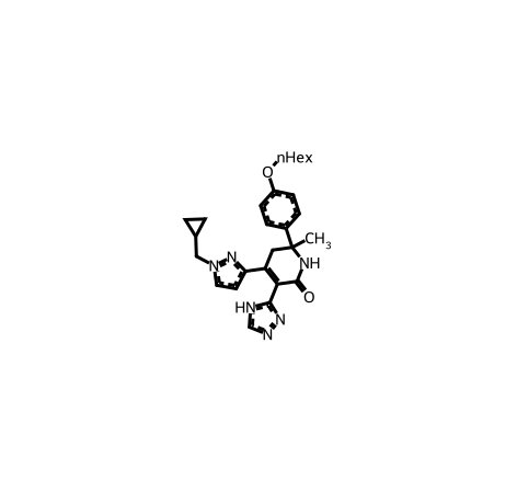 CCCCCCOc1ccc(C2(C)CC(c3ccn(CC4CC4)n3)=C(c3nnc[nH]3)C(=O)N2)cc1